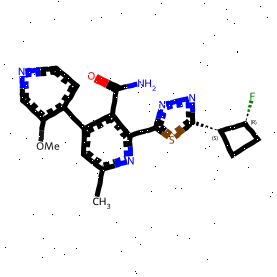 COc1cnccc1-c1cc(C)nc(-c2nnc([C@H]3CC[C@H]3F)s2)c1C(N)=O